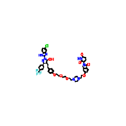 O=C1CCC(N2Cc3cc(OCCN4CCN(CCOCCOCCOc5ccc(CCc6c(-c7ccc(C(F)(F)F)cc7)nn(-c7nc8cc(Cl)ccc8[nH]7)c6O)cc5)CC4)ccc3C2=O)C(=O)N1